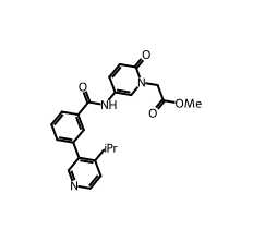 COC(=O)Cn1cc(NC(=O)c2cccc(-c3cnccc3C(C)C)c2)ccc1=O